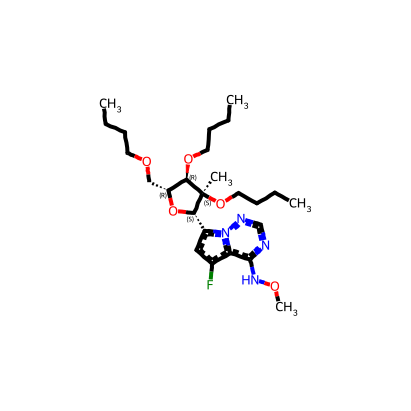 CCCCOC[C@H]1O[C@@H](c2cc(F)c3c(NOC)ncnn23)[C@](C)(OCCCC)[C@@H]1OCCCC